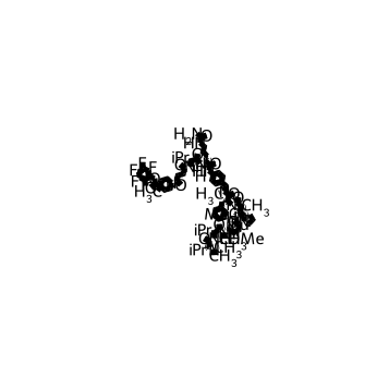 CC[C@H](C)[C@@H]([C@@H](CC(=O)N1CCC[C@H]1[C@H](OC)[C@@H](C)C(=O)N[C@@H](Cc1ccccc1)C(=O)N(C)Cc1ccc(NC(=O)[C@H](CCCNC(N)=O)NC(=O)[C@@H](NC(=O)CCC(=O)N2CCC(C)(C(=O)Oc3c(F)c(F)c(F)c(F)c3F)CC2)C(C)C)cc1)OC)N(C)C(=O)[C@@H](NC(=O)[C@H](C(C)C)N(C)C)C(C)C